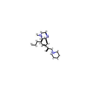 C=C(CN1CCCCC1)c1cc(CCC)c2c(c1)N=CCN2C